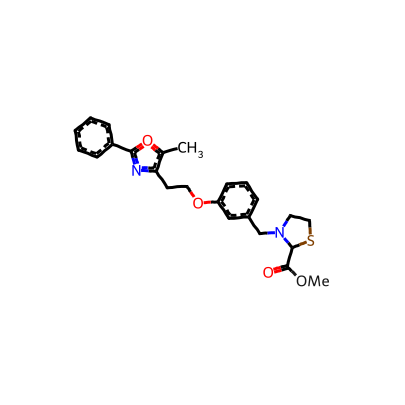 COC(=O)C1SCCN1Cc1cccc(OCCc2nc(-c3ccccc3)oc2C)c1